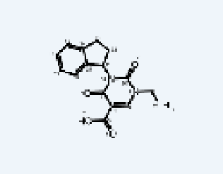 CCn1cc(C(=O)O)c(=O)n(C2CCc3ccccc32)c1=O